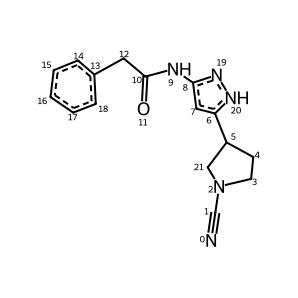 N#CN1CCC(c2cc(NC(=O)Cc3ccccc3)n[nH]2)C1